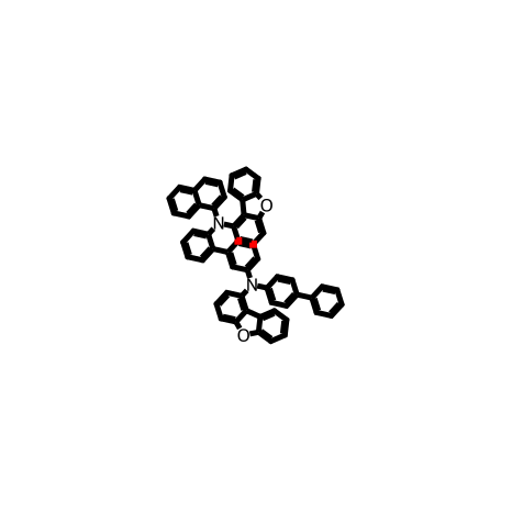 c1ccc(-c2ccc(N(c3cccc(-c4ccccc4N(c4cccc5ccccc45)c4cccc5oc6ccccc6c45)c3)c3cccc4oc5ccccc5c34)cc2)cc1